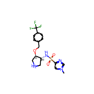 Cn1cnc(S(=O)(=O)N[C@@H]2CNC[C@H]2OCc2ccc(C(F)(F)F)cc2)c1